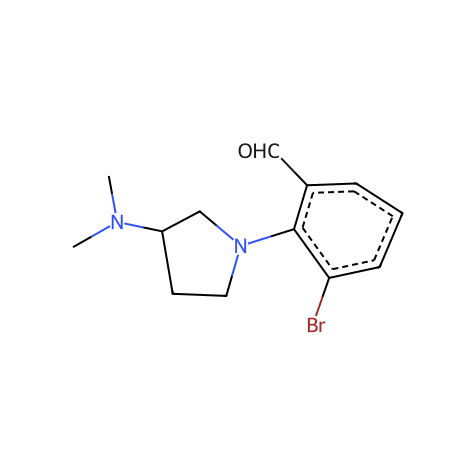 CN(C)C1CCN(c2c(Br)cccc2C=O)C1